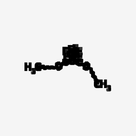 CCCCCCCC[C@H]1CC[C@H]([C@H]2CC[C@H](C(OC(c3ccc(F)c(F)c3F)[C@H]3CC[C@H]([C@H]4CC[C@H](CCCCCCCC)CC4)CC3)c3ccc(F)c(F)c3F)CC2)CC1